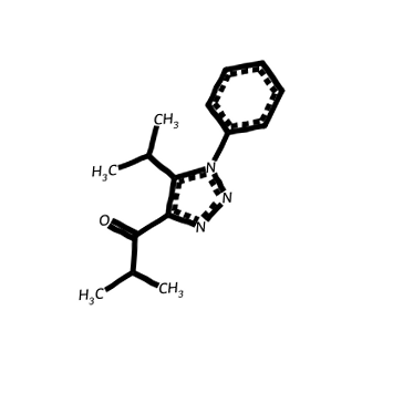 CC(C)C(=O)c1nnn(-c2ccccc2)c1C(C)C